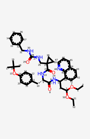 CCOC(CC(NC(=O)[C@H](Cc1ccc(OC(C)(C)C)cc1)NC(=O)C1(CNC(=O)NCc2ccccc2)CC1)c1cccc2cccnc12)OCC